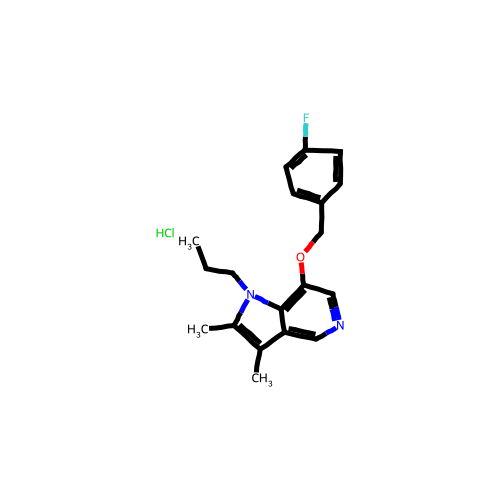 CCCn1c(C)c(C)c2cncc(OCc3ccc(F)cc3)c21.Cl